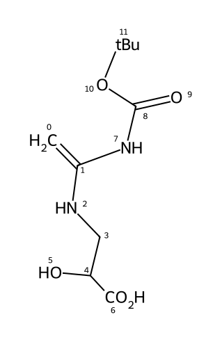 C=C(NCC(O)C(=O)O)NC(=O)OC(C)(C)C